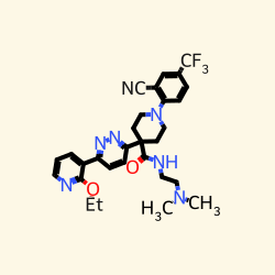 CCOc1ncccc1-c1ccc(C2(C(=O)NCCN(C)C)CCN(c3ccc(C(F)(F)F)cc3C#N)CC2)nn1